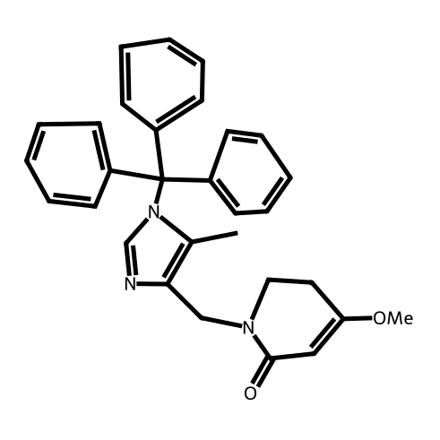 COC1=CC(=O)N(Cc2ncn(C(c3ccccc3)(c3ccccc3)c3ccccc3)c2C)CC1